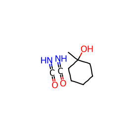 CC1(O)CCCCC1.N=C=O.N=C=O